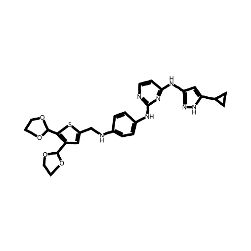 c1cc(Nc2cc(C3CC3)[nH]n2)nc(Nc2ccc(NCc3cc(C4OCCO4)c(C4OCCO4)s3)cc2)n1